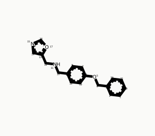 c1ccc(COc2ccc(CNCc3cnco3)cc2)cc1